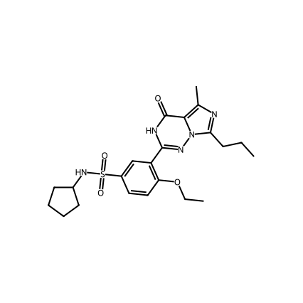 CCCc1nc(C)c2c(=O)[nH]c(-c3cc(S(=O)(=O)NC4CCCC4)ccc3OCC)nn12